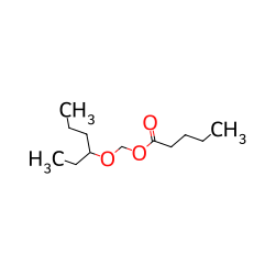 CCCCC(=O)OCOC(CC)CCC